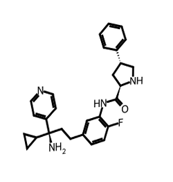 N[C@](CCc1ccc(F)c(NC(=O)[C@H]2C[C@H](c3ccccc3)CN2)c1)(c1ccncc1)C1CC1